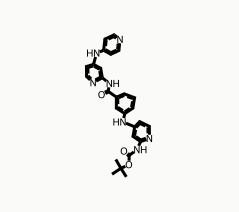 CC(C)(C)OC(=O)Nc1cc(Nc2cccc(C(=O)Nc3cc(Nc4ccncc4)ccn3)c2)ccn1